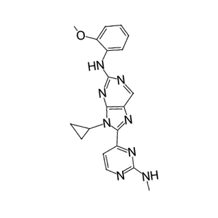 CNc1nccc(-c2nc3cnc(Nc4ccccc4OC)nc3n2C2CC2)n1